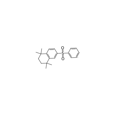 CC1(C)CCC(C)(C)c2cc(S(=O)(=O)c3c[c]ccc3)ccc21